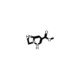 COC(=O)C1=CNN2CCNC2=C1